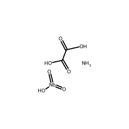 N.O=C(O)C(=O)O.[O]=[Nb](=[O])[OH]